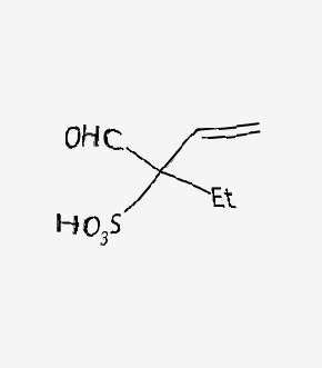 C=CC(C=O)(CC)S(=O)(=O)O